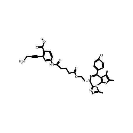 COC(=O)c1ccc(NC(=O)CCCC(=O)OCC[C@@H]2N=C(c3ccc(Cl)cc3)c3c(sc(C)c3C)-n3c(C)nnc32)cc1C#CCN